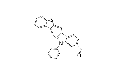 O=Cc1ccc2c3cc4sc5ccccc5c4cc3n(-c3ccccc3)c2c1